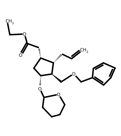 C=CC[C@H]1[C@@H](CC(=O)OCC)C[C@@H](OC2CCCCO2)[C@@H]1COCc1ccccc1